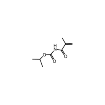 C=C(C)C(=O)NC(=O)OC(C)C